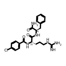 N=C(N)NCCC[C@H](NC(=O)c1ccc(Cl)cc1)C(=O)N[C@H](Cc1ccccc1)C(N)=O